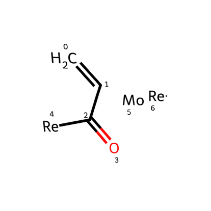 C=C[C](=O)[Re].[Mo].[Re]